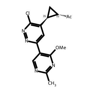 COc1nc(C)ncc1-c1cc([C@H]2C[C@@H]2C(C)=O)c(Cl)nn1